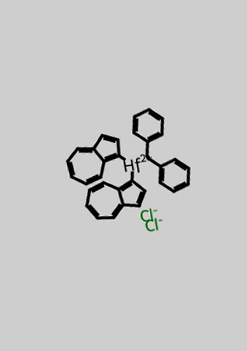 [Cl-].[Cl-].c1ccc([C](c2ccccc2)=[Hf+2]([c]2ccc3cccccc2-3)[c]2ccc3cccccc2-3)cc1